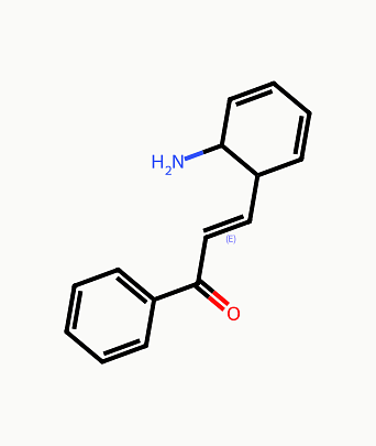 NC1C=CC=CC1/C=C/C(=O)c1ccccc1